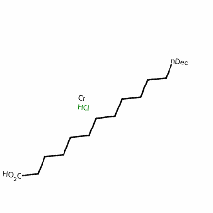 CCCCCCCCCCCCCCCCCCCCCC(=O)O.Cl.[Cr]